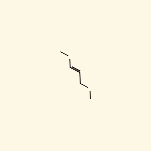 CSC=CCSC